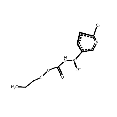 CCCCOC(=O)N[S+]([O-])c1ccc(Cl)nc1